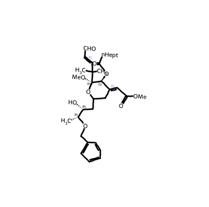 CCCCCCCC(=O)O[C@H]1/C(=C/C(=O)OC)CC(C[C@@H](O)[C@@H](C)OCc2ccccc2)O[C@@]1(OC)C(C)(C)/C=C/C=O